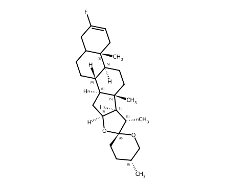 C[C@@H]1CC[C@@]2(OC1)O[C@H]1C[C@H]3[C@@H]4CCC5CC(F)=CC[C@]5(C)[C@H]4CC[C@]3(C)[C@H]1[C@@H]2C